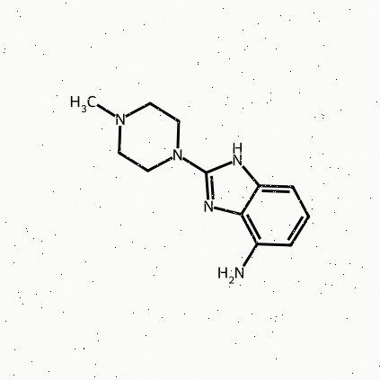 CN1CCN(c2nc3c(N)cccc3[nH]2)CC1